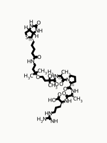 C[C@H](NC(=O)[C@@H]1CCCN1C(=O)[C@H](C)NC(=O)C(C)(C)CCOC(C)(C)CCNC(=O)CCCC[C@@H]1SC[C@@H]2NC(=O)N[C@@H]21)C(=O)N[C@@H](CCCNC(=N)N)C(=O)O